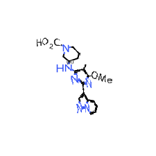 COc1nc(-c2cnn3ccccc23)nc(N[C@@H]2CCCN(C(=O)O)C2)c1C